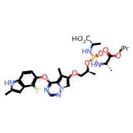 Cc1cc2c(F)c(Oc3ncnn4cc(OC[C@H](C)OP(=O)(N[C@@H](C)C(=O)O)N[C@@H](C)C(=O)OC(C)C)c(C)c34)ccc2[nH]1